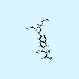 CCOP(=O)(COc1ccc2sc(C(C)N(O)C(N)=O)cc2c1)OCC